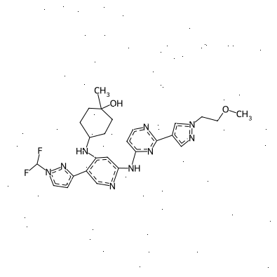 COCCn1cc(-c2nccc(Nc3cc(NC4CCC(C)(O)CC4)c(-c4ccn(C(F)F)n4)cn3)n2)cn1